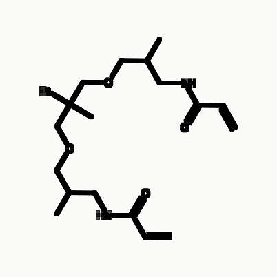 C=CC(=O)NCC(C)COCC(C)(CC)COCC(C)CNC(=O)C=C